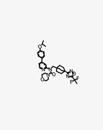 CC(C)Oc1ccc(-c2ccnc(N(CC34CCC(c5noc(C(C)(F)F)n5)(CC3)CC4)C(=O)N3CCOCC3)c2)cc1